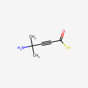 CC(C)(N)C#CC(=O)S